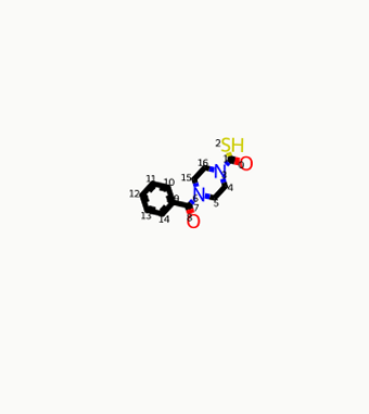 O=C(S)N1CCN(C(=O)c2ccccc2)CC1